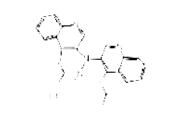 CCSc1c(N(N)c2cnc3ccccc3c2SCC)cnc2ccccc12.Cl